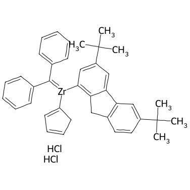 CC(C)(C)c1ccc2c(c1)-c1cc(C(C)(C)C)c[c]([Zr]([C]3=CC=CC3)=[C](c3ccccc3)c3ccccc3)c1C2.Cl.Cl